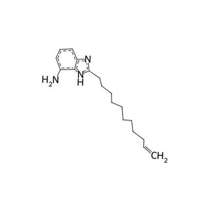 C=CCCCCCCCCCc1nc2cccc(N)c2[nH]1